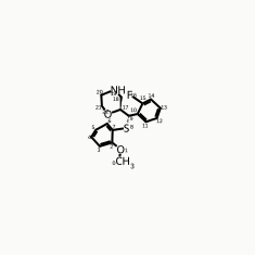 COc1ccccc1S[C@@H](c1ccccc1F)[C@@H]1CNCCO1